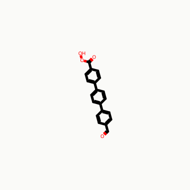 O=Cc1ccc(-c2ccc(-c3ccc(C(=O)OO)cc3)cc2)cc1